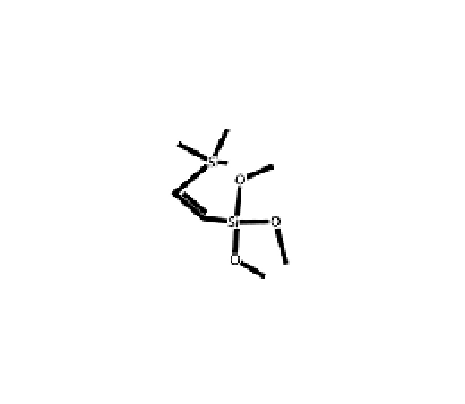 CO[Si](/C=C\[Si](C)(C)C)(OC)OC